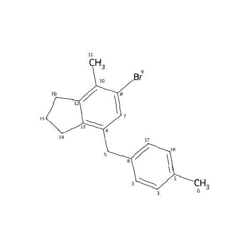 Cc1ccc(Cc2cc(Br)c(C)c3c2CCC3)cc1